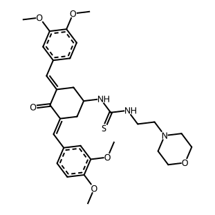 COc1ccc(/C=C2\CC(NC(=S)NCCN3CCOCC3)C/C(=C\c3ccc(OC)c(OC)c3)C2=O)cc1OC